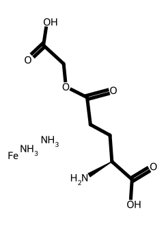 N.N.N[C@@H](CCC(=O)OCC(=O)O)C(=O)O.[Fe]